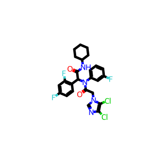 O=C(NC1CCCCC1)C(c1ccc(F)cc1F)N(C(=O)Cn1cnc(Cl)c1Cl)c1cccc(F)c1